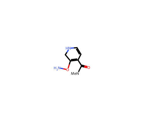 CNC(=O)C1=C(ON)CNC=C1